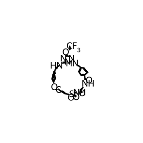 O=C1CNC(=O)c2ccc(cc2)Nc2nc(nc(OCC(F)(F)F)n2)NCc2ccc(cc2)OCC=CCS(=O)(=O)N1